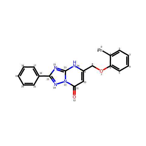 CC(C)c1ccccc1OCc1cc(=O)n2nc(-c3ccccc3)nc2[nH]1